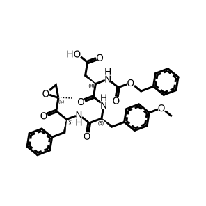 COc1ccc(C[C@H](NC(=O)[C@@H](CC(=O)O)NC(=O)OCc2ccccc2)C(=O)N[C@@H](Cc2ccccc2)C(=O)[C@]2(C)CO2)cc1